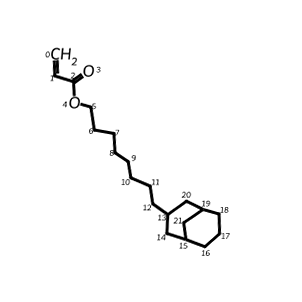 C=CC(=O)OCCCCCCCCC1CC2CCCC(C1)C2